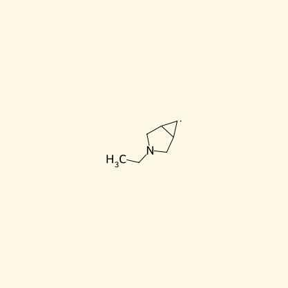 CCN1CC2[CH]C2C1